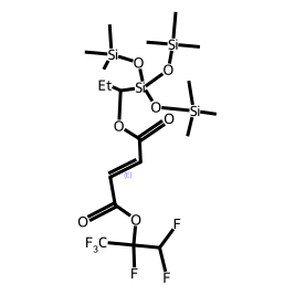 CCC(OC(=O)/C=C/C(=O)OC(F)(C(F)F)C(F)(F)F)[Si](O[Si](C)(C)C)(O[Si](C)(C)C)O[Si](C)(C)C